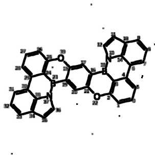 c1cc2c3c(c1)-c1cccc4ccn(c14)B3c1cc3c(cc1O2)B1c2c(cccc2-c2cccc4ccn1c24)O3